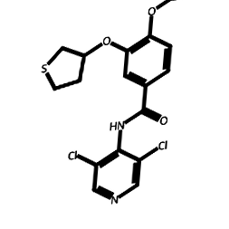 CCOc1ccc(C(=O)Nc2c(Cl)cncc2Cl)cc1OC1CCSC1